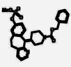 COS(=O)(=O)Oc1ccc2c(c1)CCc1cccnc1C2=C1CCN(C(=O)OCc2ccccc2)CC1